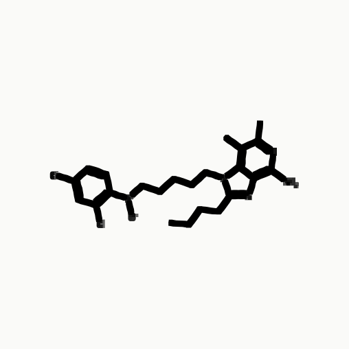 CCCCc1nc2c(N)nc(C)c(C)c2n1CCCCC[S+]([O-])c1ccc(Cl)cc1Cl